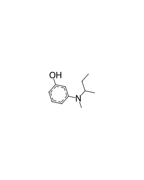 CCC(C)N(C)c1cccc(O)c1